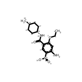 CCOc1cc(N)c([N+](=O)[O-])cc1C(=O)N[C@H]1CC[C@H](C)CC1